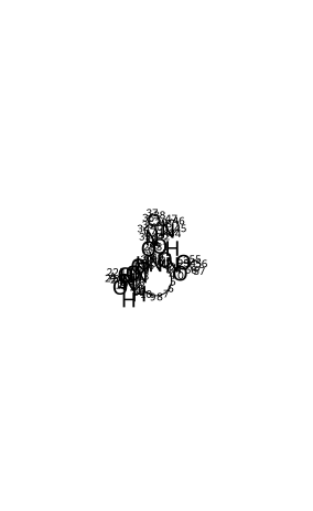 O=C(NC1CCCCC/C=C\[C@@H]2C[C@@]2(C(=O)NS(=O)(=O)C2CC2)NC(=O)[C@@H]2C[C@@H](OC(=O)N3CCc4ccccc4C3CN3CCCCC3)CN2C1=O)OC1CCCC1